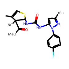 COC(=O)C1(C#N)C(C)=CSC1NC(=O)Nc1cc(C(C)(C)C)nn1-c1ccc(F)cc1